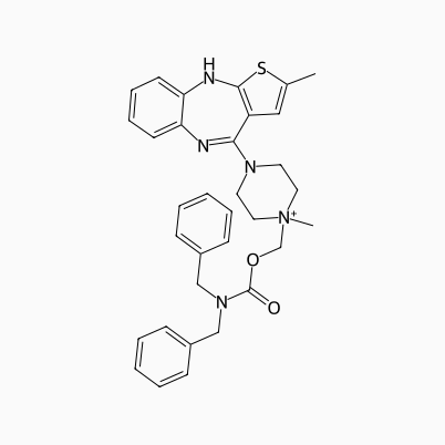 Cc1cc2c(s1)Nc1ccccc1N=C2N1CC[N+](C)(COC(=O)N(Cc2ccccc2)Cc2ccccc2)CC1